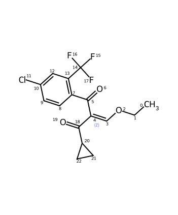 CCO/C=C(\C(=O)c1ccc(Cl)cc1C(F)(F)F)C(=O)C1CC1